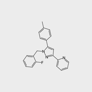 Cc1ccc(-c2cc(-c3ccccn3)nn2Cc2ccccc2F)cc1